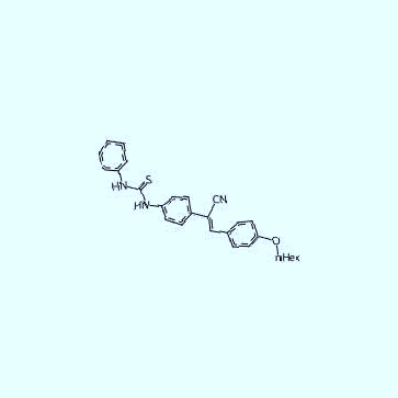 CCCCCCOc1ccc(/C=C(\C#N)c2ccc(NC(=S)Nc3ccccc3)cc2)cc1